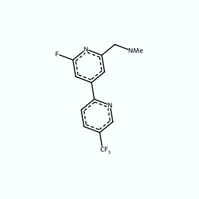 CNCc1cc(-c2ccc(C(F)(F)F)cn2)cc(F)n1